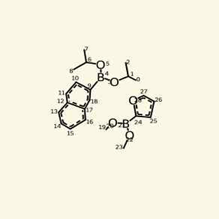 CC(C)OB(OC(C)C)c1ccc2ccccc2c1.COB(OC)c1ccco1